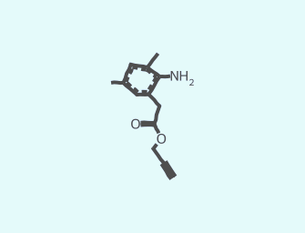 C#CCOC(=O)Cc1cc(C)cc(C)c1N